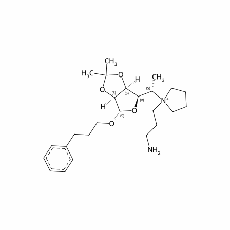 C[C@@H]([C@H]1O[C@H](OCCCc2ccccc2)[C@H]2OC(C)(C)O[C@H]21)[N+]1(CCCN)CCCC1